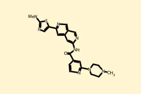 CNc1ncc(-c2cc3cc(NC(=O)c4ccnc(N5CCN(C)CC5)c4)ncc3cn2)s1